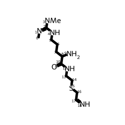 C/N=C(/NC)NCCCC(N)C(=O)NCCSCC=N